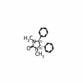 CN1C(=O)N(C)[C@@H](c2ccccc2)[C@@H]1c1ccccc1